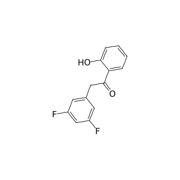 O=C(Cc1cc(F)cc(F)c1)c1ccccc1O